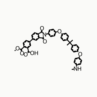 CNc1ccc(Oc2ccc(C(C)(C)c3ccc(Oc4ccc(N5C(=O)c6ccc(-c7ccc(C(=O)OC)c(C(=O)O)c7)cc6C5=O)cc4)cc3)cc2)cc1